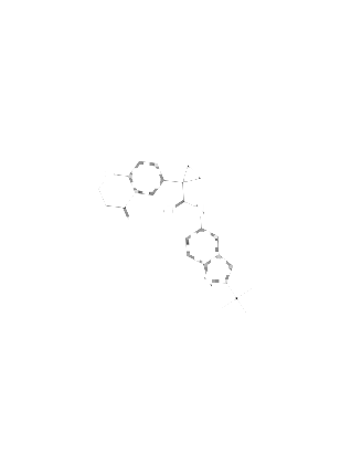 CC(C)(C)c1cc2cc(NC(=O)C3(c4ccc5c(c4)C(=O)CCO5)CC3)ccc2[nH]1